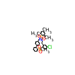 Cc1cc(C)c(S(=O)(=O)N(CCc2cccc(Cl)c2)Cc2ccc(-c3ccccc3S(C)(=O)=O)cc2)c(C)c1